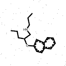 CCCNCC(CCC)Oc1ccc2ccccc2c1